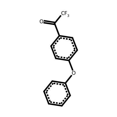 O=C(c1ccc(Oc2ccccc2)cc1)C(F)(F)F